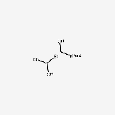 CCC(O)CC.CCCCCCO